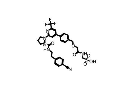 N#Cc1ccc(CCNC(=O)[C@@H]2CCCN2c2cc(-c3ccc(COCC(=O)NCS(=O)(=O)O)cc3)cc(C(F)(F)F)n2)cc1